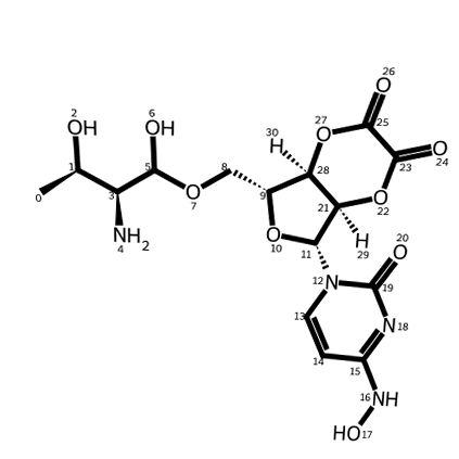 C[C@@H](O)[C@H](N)C(O)OC[C@H]1O[C@@H](n2ccc(NO)nc2=O)[C@@H]2OC(=O)C(=O)O[C@@H]21